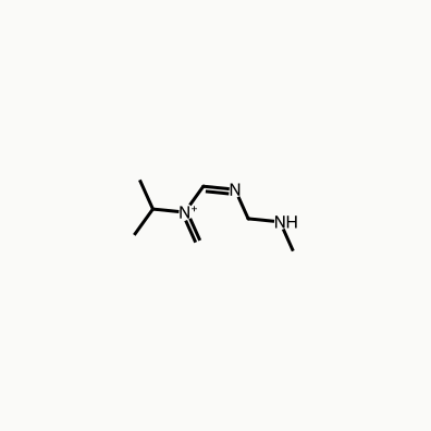 C=[N+](/C=N\CNC)C(C)C